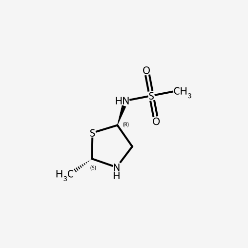 C[C@H]1NC[C@H](NS(C)(=O)=O)S1